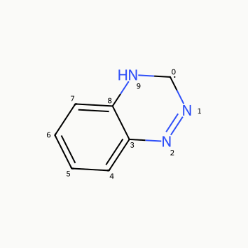 [CH]1N=Nc2ccccc2N1